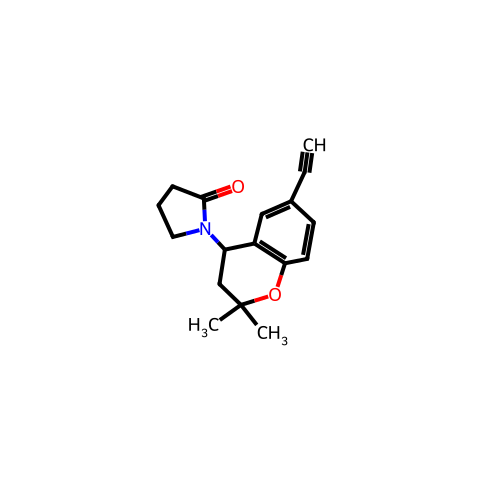 C#Cc1ccc2c(c1)C(N1CCCC1=O)CC(C)(C)O2